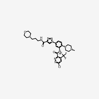 CN1CCN(c2ccc(-n3cc(C(=O)NCCCN4CCOCC4)nn3)cc2NC(=O)c2nnc(Cl)cc2C(F)(F)F)CC1